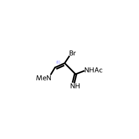 CN/C=C(/Br)C(=N)NC(C)=O